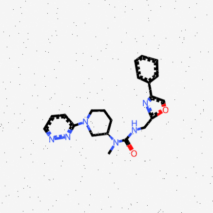 CN(C(=O)NCc1nc(-c2ccccc2)co1)[C@@H]1CCCN(c2cccnn2)C1